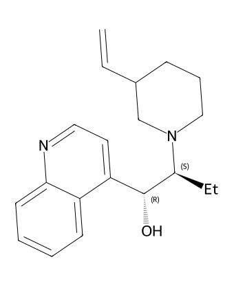 C=CC1CCCN([C@@H](CC)[C@H](O)c2ccnc3ccccc23)C1